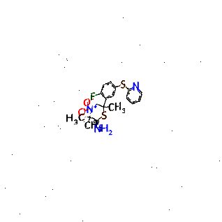 CC1(c2cc(Sc3ccccn3)ccc2F)C[N+]([O-])([O-])C(C)(C)[C@H](N)S1